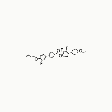 C=CCCOc1ccc(-c2ccc(C(=O)Oc3ccc(C4CCC(OCC)CC4)c(F)c3F)cc2)cc1F